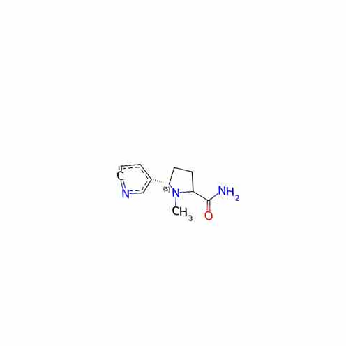 CN1C(C(N)=O)CC[C@H]1c1cccnc1